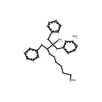 CCCCCCCCCCCCCCCCC(Cc1ccccc1)C(P)(Cc1ccccc1)Cc1ccccc1.Cl